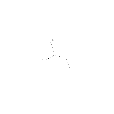 C[C]=C(C(F)(F)F)C(F)(F)F